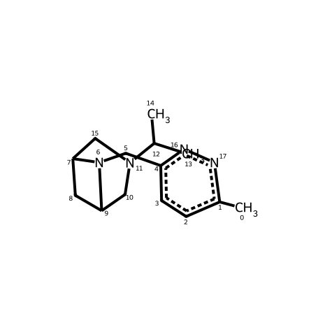 Cc1ccc(CN2C3CC2CN(C(C)C)C3)nn1